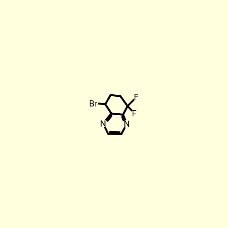 FC1(F)CCC(Br)c2nccnc21